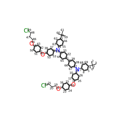 CC(C)(C)c1ccc(N(c2ccc(Oc3ccc(OCCCCl)cc3)cc2)c2ccc(-c3ccc(N(c4ccc(Oc5ccc(OCCCCl)cc5)cc4)c4ccc(C(C)(C)C)cc4)cc3)cc2)cc1